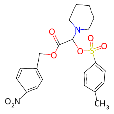 Cc1ccc(S(=O)(=O)OC(C(=O)OCc2ccc([N+](=O)[O-])cc2)N2CCCCC2)cc1